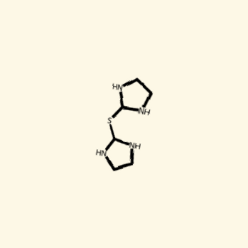 C1CNC(SC2NCCN2)N1